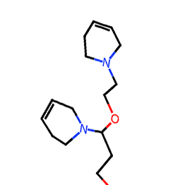 OCCC(OCCN1CC=CCC1)N1CC=CCC1